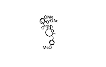 COc1ccc(C[C@@H]2CCCC[C@H](NC(=O)c3nccc(OC)c3OCOC(C)=O)C(=O)O[C@H]2C)cc1